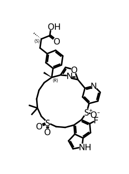 C[C@@H](Cc1cccc([C@@]2(C)CCCC(C)(C)CS(=O)(=O)CCc3c(c(F)cc4[nH]ccc34)[S+]([O-])c3ccnc(c3)-c3nc2co3)c1)C(=O)O